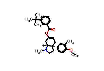 COc1ccc([C@@]23CC=C(OC(=O)c4cccc(C(C)(C)C)c4)C[C@@H]2N(C)CC3)cc1C